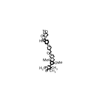 COc1cc(-c2cn(C)c(=O)c(C)c2C)cc(OC)c1CN1CCN(C(=O)CC2CCN(c3ccc4c(N5CCC(=O)NC5=O)n[nH]c4c3)CC2)CC1